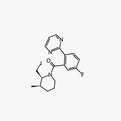 C[C@@H]1CCCN(C(=O)c2cc(F)ccc2-c2ncccn2)[C@@H]1CI